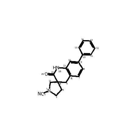 N#CN1CCC2(Cc3ccc(-c4ccccc4)cc3NC2=O)C1